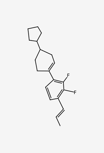 C/C=C/c1ccc(C2=CCC(C3CCCC3)CC2)c(F)c1F